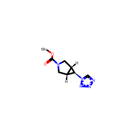 CC(C)(C)OC(=O)N1C[C@@H]2[C@H](C1)[C@H]2n1cnnn1